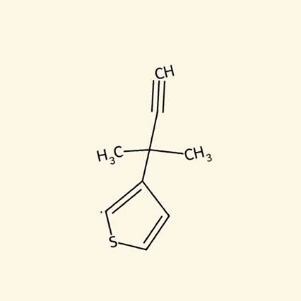 C#CC(C)(C)c1[c]scc1